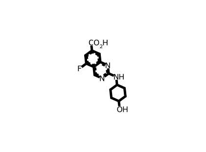 O=C(O)c1cc(F)c2cnc(NC3CCC(O)CC3)nc2c1